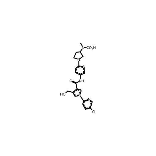 CN(C(=O)O)C1CCN(c2ccc(NC(=O)c3nn(-c4ccc(Cl)cn4)cc3CO)cn2)C1